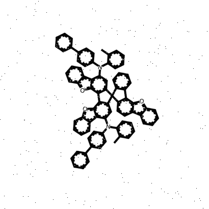 Cc1ccccc1N(c1ccc(-c2ccccc2)cc1)c1cc2c(c3oc4ccccc4c13)-c1c(cc(N(c3ccc(-c4ccccc4)cc3)c3ccccc3C)c3c1oc1ccccc13)C21c2ccccc2-c2c1ccc1c2oc2ccccc21